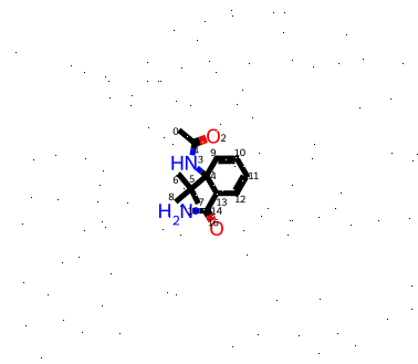 CC(=O)NC1(C(C)(C)C)C=CC=CC1C(N)=O